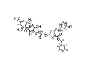 Cc1cc(C)c(S(=O)(=O)NC(CNC(=O)COC2CC(CNc3cc(Cl)ccn3)N(C(=O)OCc3ccccc3)C2)C(=O)O)c(C)c1